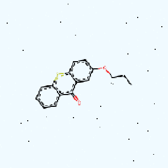 CCCOc1ccc2sc3ccccc3c(=O)c2c1